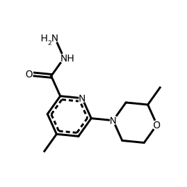 Cc1cc(C(=O)NN)nc(N2CCOC(C)C2)c1